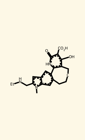 CCNCc1cc2cc3c(cc2n1C)CCCCc1c-3[nH]c(=O)c(C(=O)O)c1O